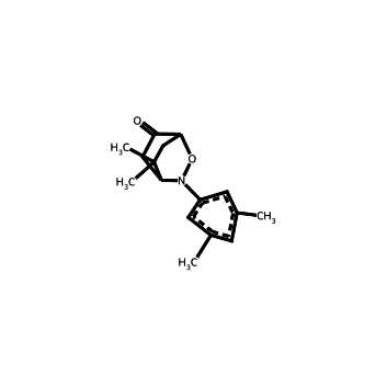 Cc1cc(C)cc(N2OC3CC(C)(C)C2CC3=O)c1